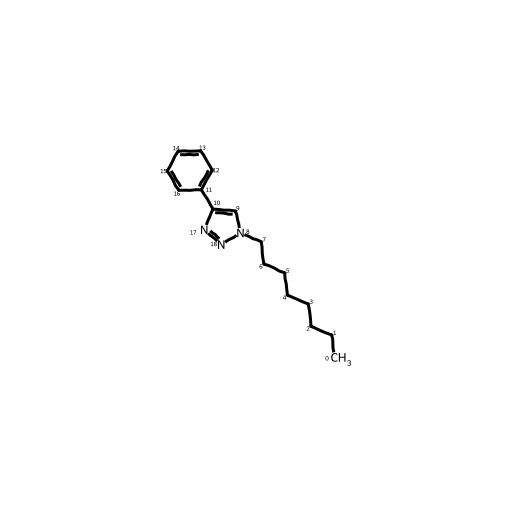 CCCCCCCCn1cc(-c2ccccc2)nn1